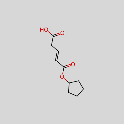 O=C(O)CC=CC(=O)OC1CCCC1